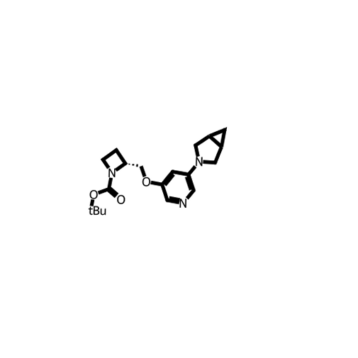 CC(C)(C)OC(=O)N1CC[C@@H]1COc1cncc(N2CC3CC3C2)c1